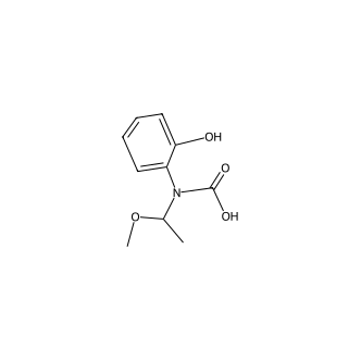 COC(C)N(C(=O)O)c1ccccc1O